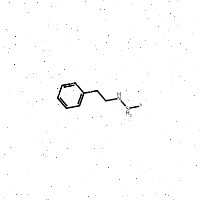 F[SiH2]NCCc1ccccc1